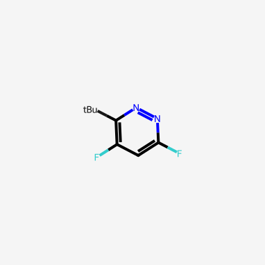 CC(C)(C)c1nnc(F)cc1F